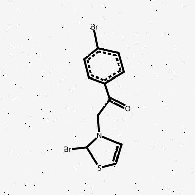 O=C(CN1C=CSC1Br)c1ccc(Br)cc1